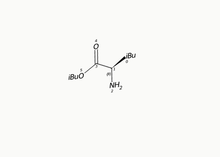 CCC(C)[C@@H](N)C(=O)OCC(C)C